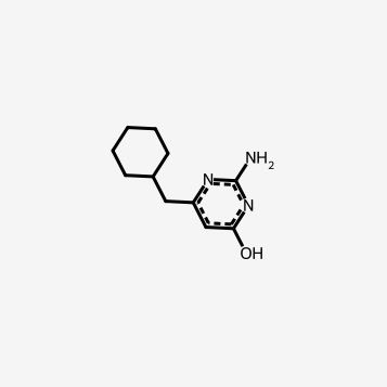 Nc1nc(O)cc(CC2CCCCC2)n1